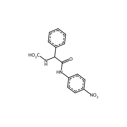 O=C(O)NC(C(=O)Nc1ccc([N+](=O)[O-])cc1)c1ccccc1